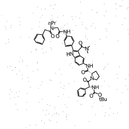 CCCN(CC(=O)Nc1ccc(-c2[nH]c3ccc(NC(=O)[C@@H]4CCCN4C(=O)[C@H](NC(=O)OC(C)(C)C)c4ccccc4)cc3c2C(=O)N(C)C)cc1)C(=O)Cc1ccccc1